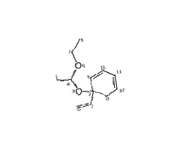 C=CC1(OC(C)OCC)C=CC=CC1